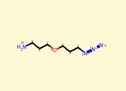 [N-]=[N+]=NCCCOCCCN